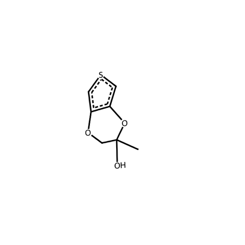 CC1(O)COc2cscc2O1